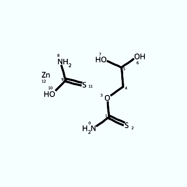 NC(=S)OCC(O)O.NC(O)=S.[Zn]